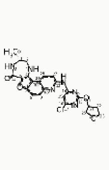 C[C@@H]1CNc2c(oc3ccc4nc(Nc5cc(Cl)nc(OC6CCOC6)n5)ccc4c23)C(=O)N1